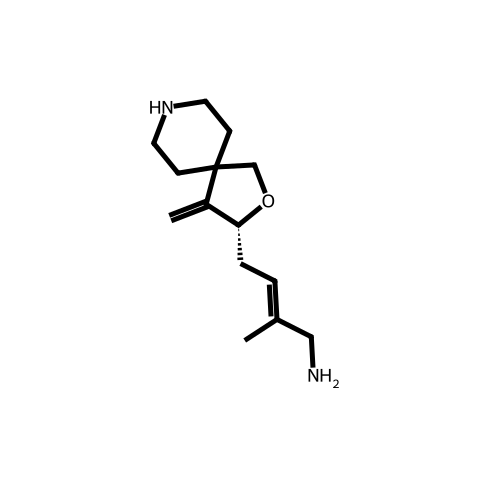 C=C1[C@@H](C/C=C(\C)CN)OCC12CCNCC2